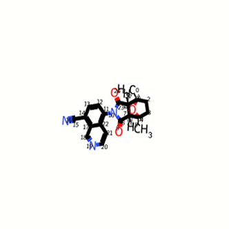 C[C@]12CC[C@](C)(O1)[C@@H]1C(=O)N(c3ccc(C#N)c4cnccc34)C(=O)[C@@H]12